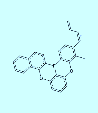 C=C/C=C\c1ccc2c(c1C)Oc1cccc3c1P2c1ccc2ccccc2c1O3